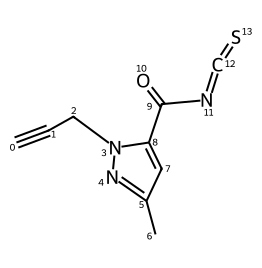 C#CCn1nc(C)cc1C(=O)N=C=S